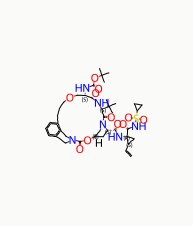 C=C[C@@H]1C[C@]1(NC(=O)[C@@H]1C[C@@H]2CN1C(=O)[C@H](C(C)(C)C)NC(=O)[C@@H](NC(=O)OC(C)(C)C)COCCCc1cccc3c1CN(C3)C(=O)O2)C(=O)NS(=O)(=O)C1CC1